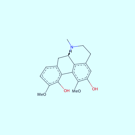 COc1ccc2c(c1O)-c1c(OC)c(O)cc3c1[C@H](C2)N(C)CC3